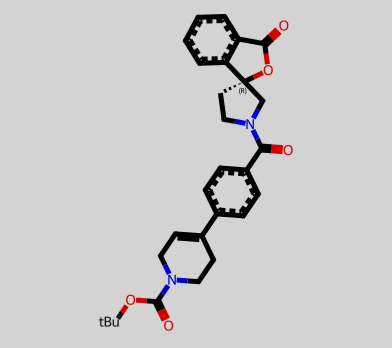 CC(C)(C)OC(=O)N1CC=C(c2ccc(C(=O)N3CC[C@@]4(C3)OC(=O)c3ccccc34)cc2)CC1